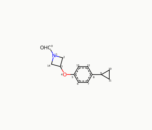 O=CN1CC(Oc2ccc(C3CC3)cc2)C1